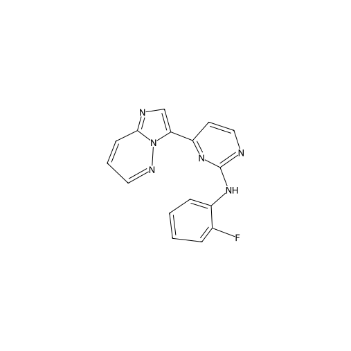 Fc1ccccc1Nc1nccc(-c2cnc3cccnn23)n1